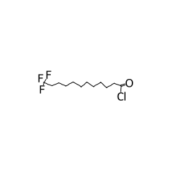 O=C(Cl)CCCCCCCCCCC(F)(F)F